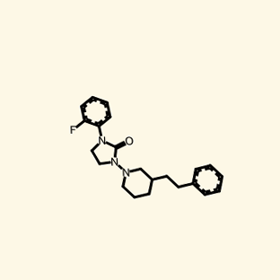 O=C1N(c2ccccc2F)CCN1N1CCCC(CCc2ccccc2)C1